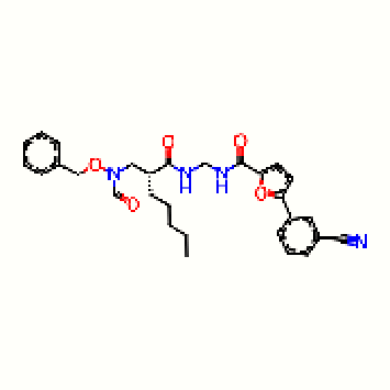 CCCCC[C@H](CN(C=O)OCc1ccccc1)C(=O)NCNC(=O)c1ccc(-c2cccc(C#N)c2)o1